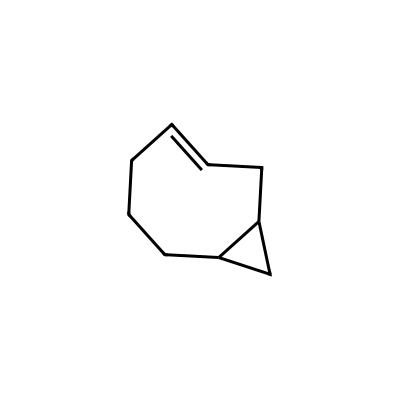 C1=C/CC2CC2CCC/1